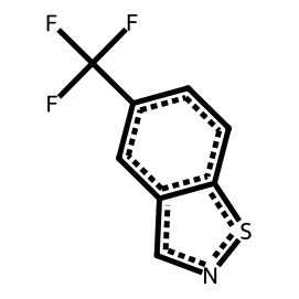 FC(F)(F)c1ccc2sncc2c1